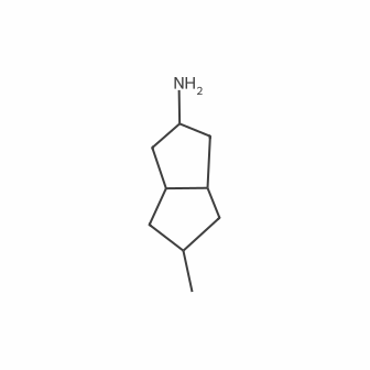 CC1CC2CC(N)CC2C1